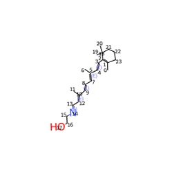 CC1=C(/C=C/C(C)=C/C=C/C(C)=C/C=N/CCO)C(C)(C)CCC1